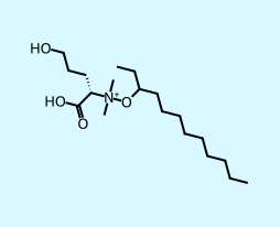 CCCCCCCCCC(CC)O[N+](C)(C)[C@@H](CCCO)C(=O)O